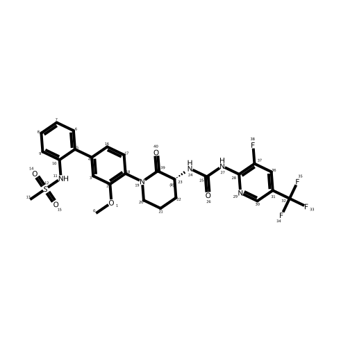 COc1cc(-c2ccccc2NS(C)(=O)=O)ccc1N1CCC[C@@H](NC(=O)Nc2ncc(C(F)(F)F)cc2F)C1=O